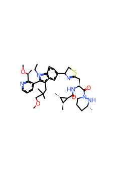 CCn1c(-c2cccnc2[C@H](C)OC)c(CC(C)(C)COC)c2cc(C3CSC(C[C@H](NC(=O)C4[C@@H](C)[C@@H]4C)C(=O)N4CCC[C@@H](C)N4)=N3)ccc21